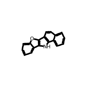 c1ccc2c(c1)ccc1c2[nH]c2c3ccccc3oc12